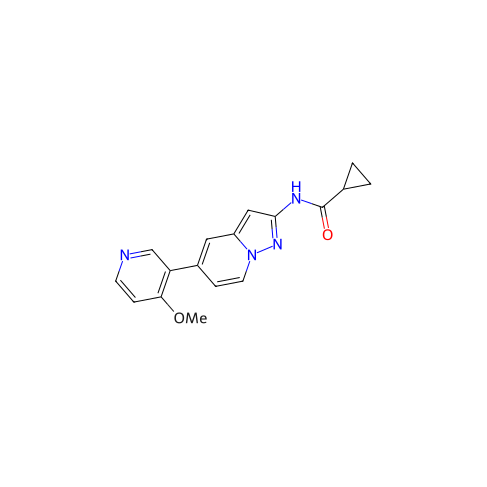 COc1ccncc1-c1ccn2nc(NC(=O)C3CC3)cc2c1